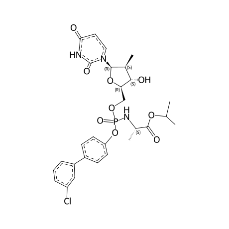 CC(C)OC(=O)[C@H](C)NP(=O)(OC[C@H]1O[C@@H](n2ccc(=O)[nH]c2=O)[C@@H](C)[C@@H]1O)Oc1ccc(-c2cccc(Cl)c2)cc1